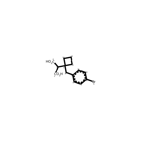 O=C(O)C(C(=O)O)C1(Cc2ccc(Br)cc2)CCC1